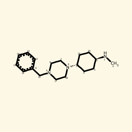 CN[C@H]1CC[C@H](N2CCN(Cc3ccccc3)CC2)CC1